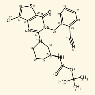 CC(C)(C)OC(=O)N[C@H]1CCCN(c2nc3c(Cl)csc3c(=O)n2Cc2ccccc2C#N)C1